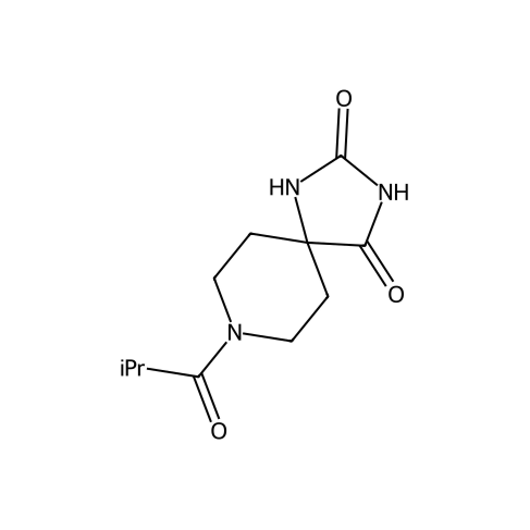 CC(C)C(=O)N1CCC2(CC1)NC(=O)NC2=O